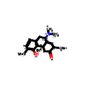 CC[C@@]12CC(=O)C(OC)CC1[C@H](N(C)C)Cc1ccc(OC)c(O)c12